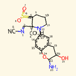 N#CN=CC1(C(=O)O)C(=S(=O)=O)CCCN1c1ccc2c(c1)CC(O)C(N)O2